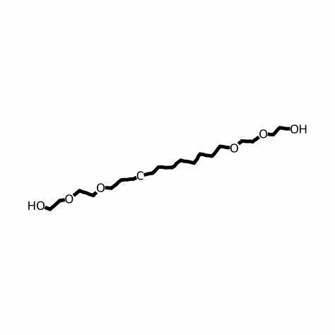 OCCOCCOCCCCCCCCCCCCOCCOCCO